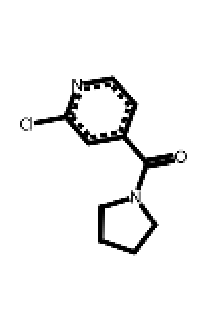 O=C(c1ccnc(Cl)c1)N1CCCC1